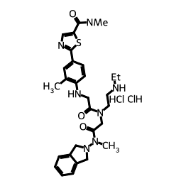 CCNCCN(CC(=O)N(C)N1Cc2ccccc2C1)C(=O)CNc1ccc(-c2ncc(C(=O)NC)s2)cc1C.Cl.Cl